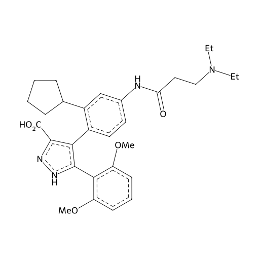 CCN(CC)CCC(=O)Nc1ccc(-c2c(C(=O)O)n[nH]c2-c2c(OC)cccc2OC)c(C2CCCC2)c1